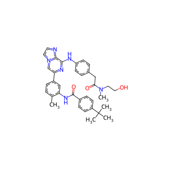 Cc1ccc(-c2cn3ccnc3c(Nc3ccc(CC(=O)N(C)CCO)cc3)n2)cc1NC(=O)c1ccc(C(C)(C)C)cc1